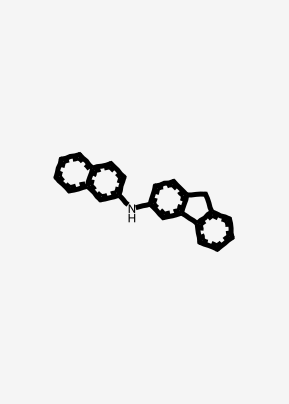 c1ccc2c(c1)Cc1ccc(Nc3ccc4ccccc4c3)cc1-2